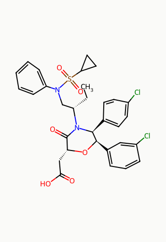 CC[C@@H](CN(c1ccccc1)S(=O)(=O)C1CC1)N1C(=O)[C@@H](CC(=O)O)O[C@H](c2cccc(Cl)c2)[C@@H]1c1ccc(Cl)cc1